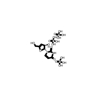 O=P(O)(O)O.O=P(O)(O)O.O=P(O)(O)O.O=c1ccn([C@@H]2OC(CO)=C[C@H]2O)c(=O)[nH]1